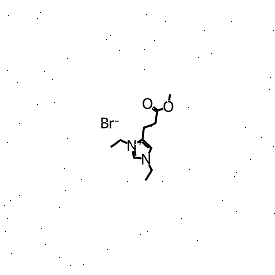 CCn1cc(CCC(=O)OC)[n+](CC)c1.[Br-]